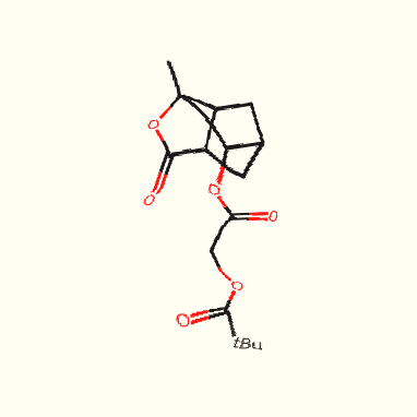 CC(C)(C)C(=O)OCC(=O)OC1C2CC3C(=O)OC1(C)C3C2